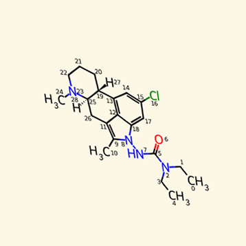 CCN(CC)C(=O)Nn1c(C)c2c3c(cc(Cl)cc31)[C@H]1CCCN(C)[C@@H]1C2